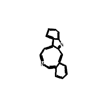 C1=N\C=c2\cccc\c2=C\C2=Nc3ccccc3/C2=C/1